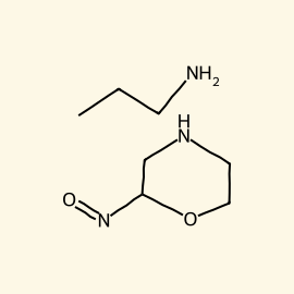 CCCN.O=NC1CNCCO1